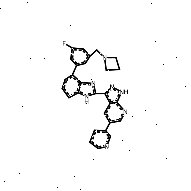 Fc1cc(CN2CCC2)cc(-c2cccc3[nH]c(-c4n[nH]c5ncc(-c6cccnc6)cc45)nc23)c1